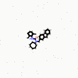 Cc1cccc(C)c1NC(=O)N(Cc1ccc2c(c1)Cc1ccccc1-2)C1CCCCCC1